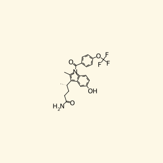 Cc1c([C@@H](C)CCC(N)=O)c2cc(O)ccc2n1C(=O)c1ccc(OC(F)(F)F)cc1